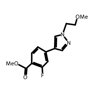 COCCn1cc(-c2ccc(C(=O)OC)c(F)c2)cn1